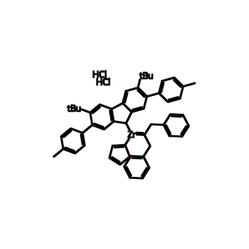 Cc1ccc(-c2cc3c(cc2C(C)(C)C)-c2cc(C(C)(C)C)c(-c4ccc(C)cc4)cc2[CH]3[Zr]([C]2=CC=CC2)=[C](Cc2ccccc2)Cc2ccccc2)cc1.Cl.Cl